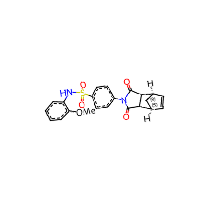 COc1ccccc1NS(=O)(=O)c1ccc(N2C(=O)C3C(C2=O)[C@H]2C=C[C@@H]3C2)cc1